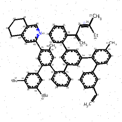 C=Cc1cccc(-c2ccc(C)cc2-c2cc(-c3ccccc3C(=C)/C=C(/C)CC)cc(-c3ccccc3-c3cc(C)c(-c4cc5c(cn4)CCCC5)cc3-c3cc(C(C)(C)C)cc(C(C)(C)C)c3)c2)c1